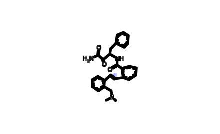 CN(C)Cc1ccccc1/C=C/c1ccccc1C(=O)NC(Cc1ccccc1)C(=O)C(N)=O